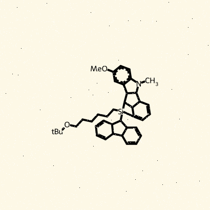 COc1ccc2c(c1)C1C(C3C=CC=C4C3C1[Si]4(CCCCCCOC(C)(C)C)C1C3C=CC=CC3C3C=CC=CC31)N2C